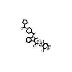 COc1cc(C)[nH]c(=O)c1CNC(=O)c1c(C)n([C@H](C)C2CCN(C(=O)C3CCCC3)CC2)c2ccccc12